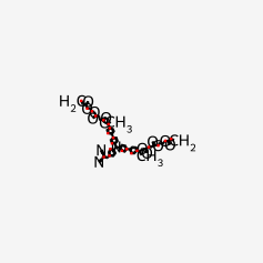 C=CC(=O)OCCOC(=O)CCC(=O)OC(C)c1ccc(-c2ccc(N(c3ccc(C=C(C#N)C#N)cc3)c3ccc(-c4ccc(C(C)OC(=O)CCC(=O)OCCOC(=O)C=C)cc4)cc3)cc2)cc1